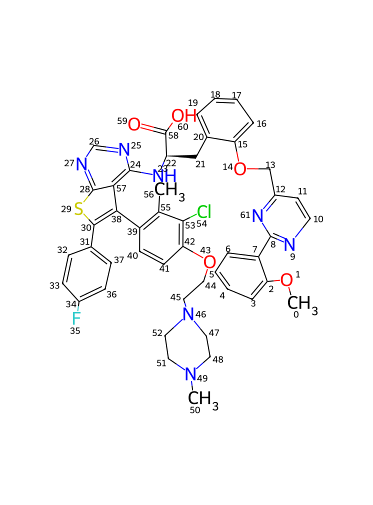 COc1ccccc1-c1nccc(COc2ccccc2C[C@@H](Nc2ncnc3sc(-c4ccc(F)cc4)c(-c4ccc(OCCN5CCN(C)CC5)c(Cl)c4C)c23)C(=O)O)n1